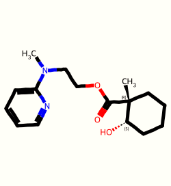 CN(CCOC(=O)[C@]1(C)CCCC[C@@H]1O)c1ccccn1